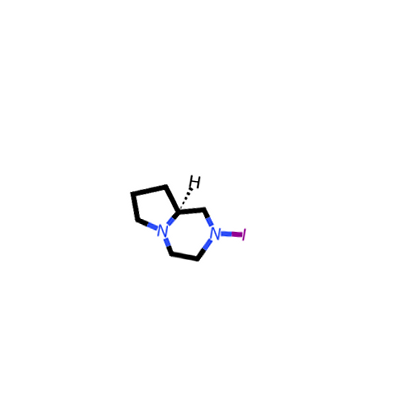 IN1CCN2CCC[C@H]2C1